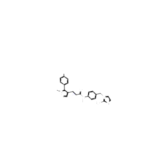 CCc1nccn1Cc1ccc(NC(=O)/C=C/c2cnn(C)c2-c2ccc(F)cc2)cc1